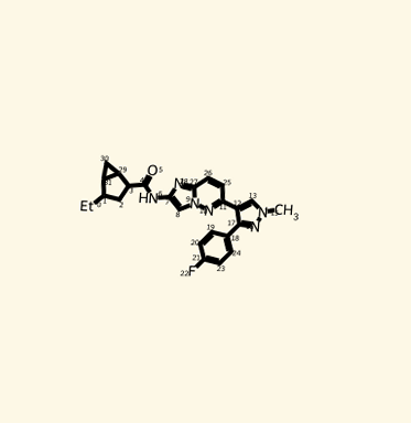 CCC1CC(C(=O)Nc2cn3nc(-c4cn(C)nc4-c4ccc(F)cc4)ccc3n2)C2CC12